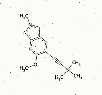 COc1cc2nn(C)cc2cc1C#C[Si](C)(C)C